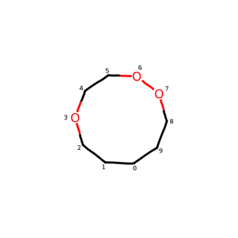 C1CCOCCOOCC1